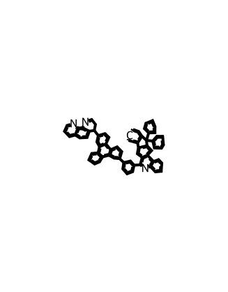 C1=Nc2c(ccc3cccnc23)C(c2ccc3c4ccc(-c5cccc(-c6nc7ccccc7c7cc8c(cc67)-c6ccccc6C8(c6ccccc6)c6ccccc6)c5)cc4c4ccccc4c3c2)C1